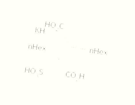 CCCCCCC(C(=O)O)C(CCCCCC)(C(=O)O)S(=O)(=O)O.[KH]